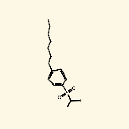 CCCCCCCc1ccc(S(=O)(=O)C(I)I)cc1